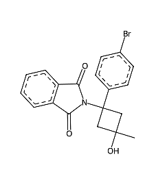 CC1(O)CC(c2ccc(Br)cc2)(N2C(=O)c3ccccc3C2=O)C1